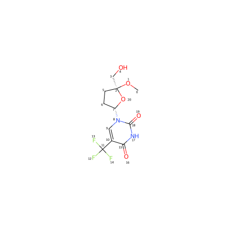 CO[C@]1(CO)CC[C@@H](n2cc(C(F)(F)F)c(=O)[nH]c2=O)O1